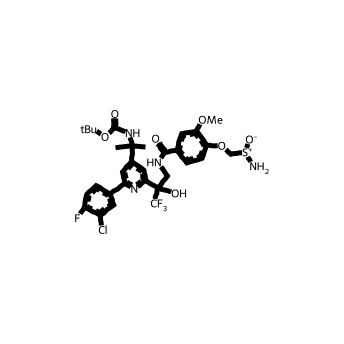 COc1cc(C(=O)NCC(O)(c2cc(C(C)(C)NC(=O)OC(C)(C)C)cc(-c3ccc(F)c(Cl)c3)n2)C(F)(F)F)ccc1OC[S+](N)[O-]